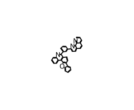 c1cc(-c2ccc3ccc4cccnc4c3n2)cc(-c2nc3ccccc3c3c2ccc2c4ccccc4oc23)c1